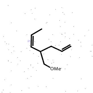 C=CCC(/C=C\C)COC